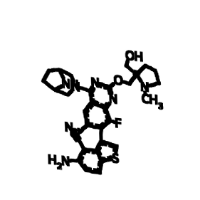 CN1CCC[C@@]1(CO)COc1nc(N2CC3CCC(C2)N3)c2cc(Cl)c(-c3csc4ccc(N)c(C#N)c34)c(F)c2n1